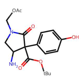 CC(=O)OCN1CC(N)C(C(=O)OC(C)(C)C)(c2ccc(O)cc2)C1=O